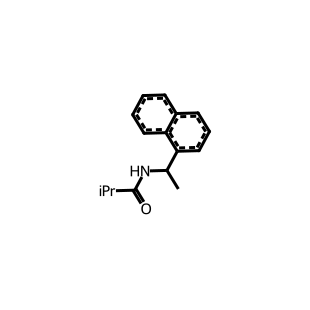 CC(C)C(=O)NC(C)c1cccc2ccccc12